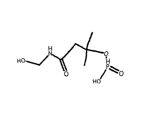 CC(C)(CC(=O)NCO)O[PH](=O)O